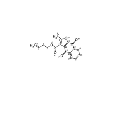 C=CCCOC(=O)c1c(C)oc2c1C(=O)c1ncccc1C2=O